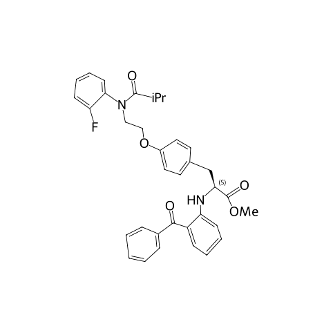 COC(=O)[C@H](Cc1ccc(OCCN(C(=O)C(C)C)c2ccccc2F)cc1)Nc1ccccc1C(=O)c1ccccc1